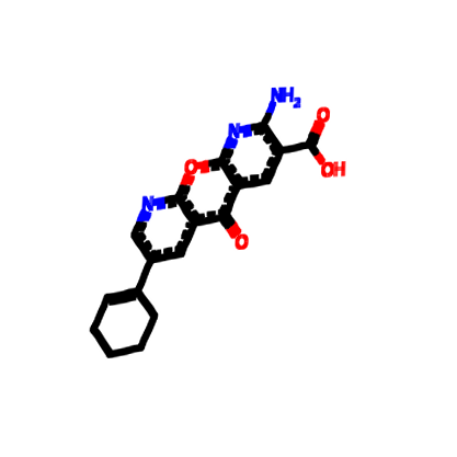 Nc1nc2oc3ncc(C4=CCCCC4)cc3c(=O)c2cc1C(=O)O